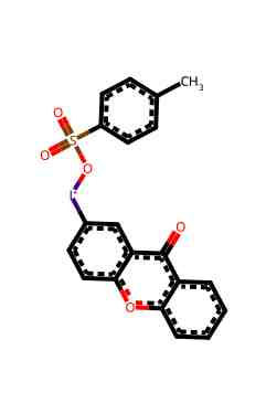 Cc1ccc(S(=O)(=O)O[I+]c2ccc3oc4ccccc4c(=O)c3c2)cc1